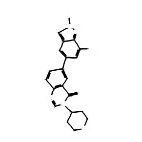 Cc1cc(-c2ccc3ncn(C4CCNCC4)c(=O)c3c2)cc2cn(C)nc12